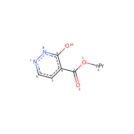 CCCOC(=O)c1ccnnc1[O]